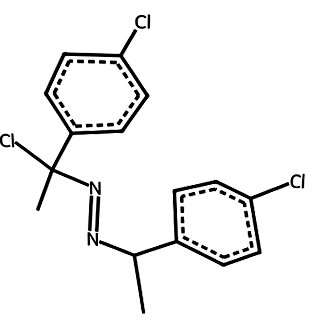 CC(N=NC(C)(Cl)c1ccc(Cl)cc1)c1ccc(Cl)cc1